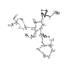 CC(C)(C)CNc1nc(NCc2ccccc2Cl)c(N)c(N2CCC(F)(F)C2)n1